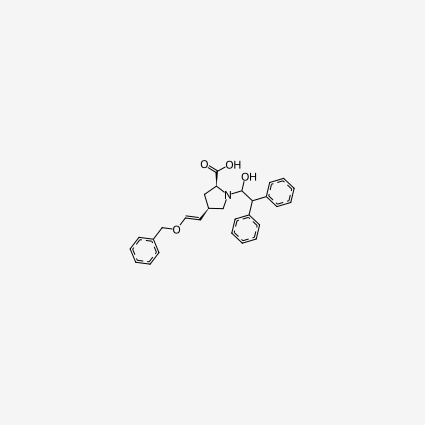 O=C(O)[C@@H]1C[C@H](/C=C/OCc2ccccc2)CN1C(O)C(c1ccccc1)c1ccccc1